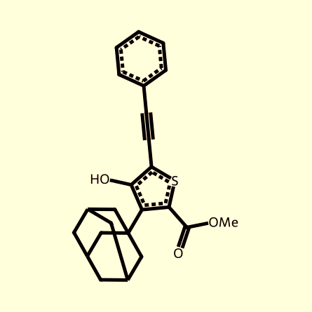 COC(=O)c1sc(C#Cc2ccccc2)c(O)c1C12CC3CC(CC(C3)C1)C2